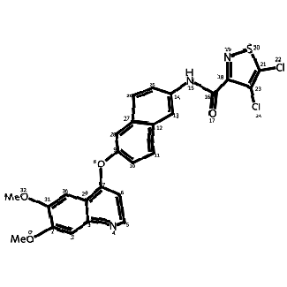 COc1cc2nccc(Oc3ccc4cc(NC(=O)c5nsc(Cl)c5Cl)ccc4c3)c2cc1OC